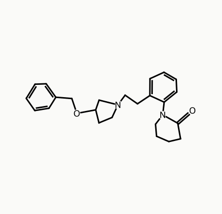 O=C1CCCCN1c1ccccc1CCN1CCC(OCc2ccccc2)C1